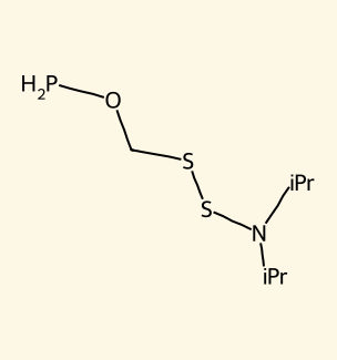 CC(C)N(SSCOP)C(C)C